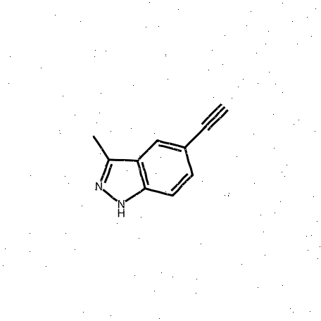 C#Cc1ccc2[nH]nc(C)c2c1